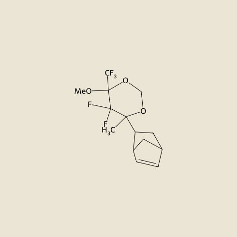 COC1(C(F)(F)F)OCOC(C)(C2CC3C=CC2C3)C1(F)F